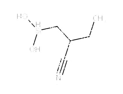 CCC(C#N)C[SiH](O)O